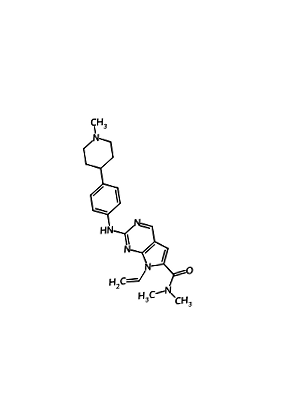 C=Cn1c(C(=O)N(C)C)cc2cnc(Nc3ccc(C4CCN(C)CC4)cc3)nc21